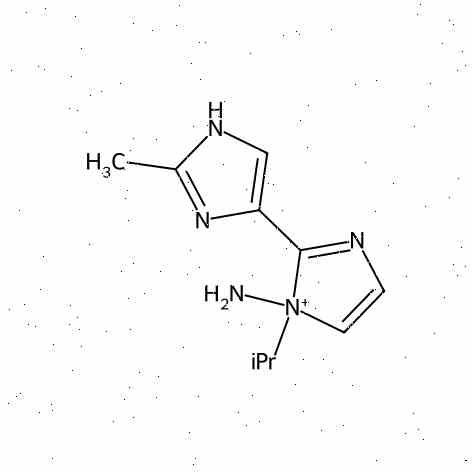 Cc1nc(C2=NC=C[N+]2(N)C(C)C)c[nH]1